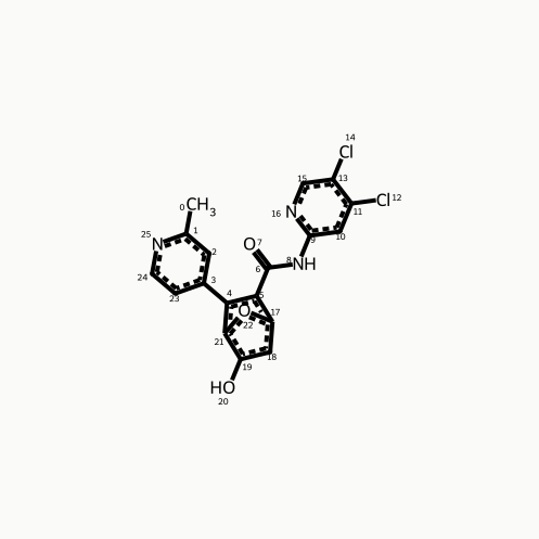 Cc1cc(-c2c(C(=O)Nc3cc(Cl)c(Cl)cn3)c3cc(O)c2o3)ccn1